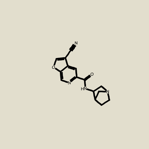 N#Cc1coc2cnc(C(=O)NC3CN4CCC3C4)cc12